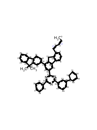 C/C=C\C=C/c1cccc2c1Cc1c(-c3ccc4c(c3)C(C)(C)c3ccccc3-4)cc(-c3nc(-c4ccccc4)nc(-c4cccc(C5C=CC=CC5)c4)n3)cc1-2